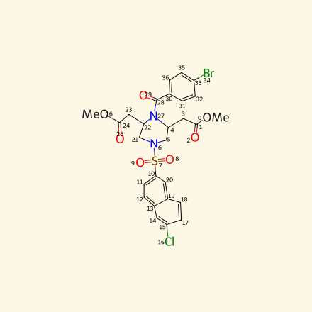 COC(=O)CC1CN(S(=O)(=O)c2ccc3cc(Cl)ccc3c2)CC(CC(=O)OC)N1C(=O)c1ccc(Br)cc1